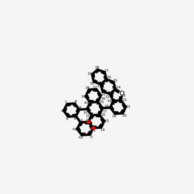 c1ccc(-c2ccccc2-c2c3ccccc3c(-c3cccc4oc5cc6ccccc6cc5c34)c3ccccc23)cc1